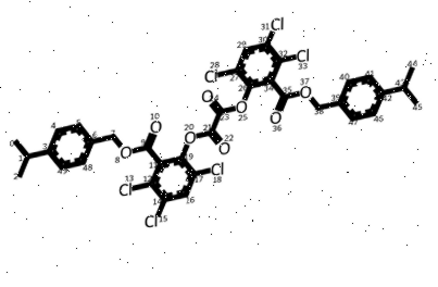 CC(C)c1ccc(COC(=O)c2c(Cl)c(Cl)cc(Cl)c2OC(=O)C(=O)Oc2c(Cl)cc(Cl)c(Cl)c2C(=O)OCc2ccc(C(C)C)cc2)cc1